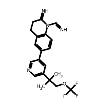 CC(C)(COC(F)(F)F)c1cncc(-c2ccc3c(c2)CCC(=N)N3C=N)c1